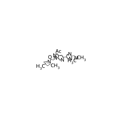 CC(=O)c1nn(CC(=O)N2C3C[C@]3(C)C[C@H]2C)c2cnc(-c3cnc(CN(C)C)nc3)cc12